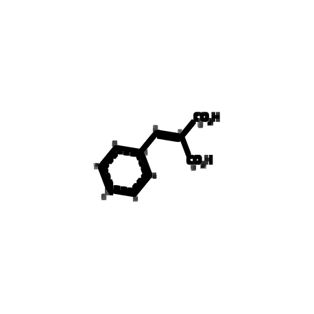 O=C(O)C(=Cc1ccncc1)C(=O)O